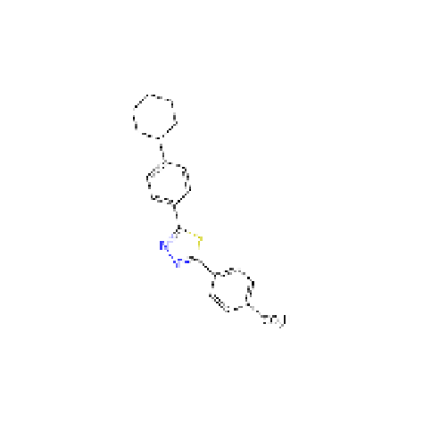 O=C(O)c1ccc(-c2nnc(-c3ccc(C4CCCCC4)cc3)s2)cc1